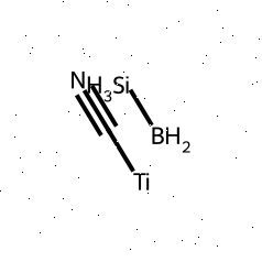 B[SiH3].N#[C][Ti]